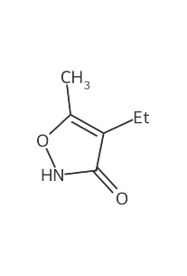 CCc1c(C)o[nH]c1=O